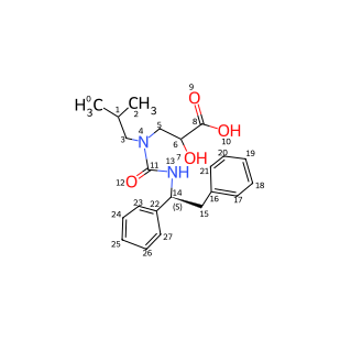 CC(C)CN(CC(O)C(=O)O)C(=O)N[C@@H](Cc1ccccc1)c1ccccc1